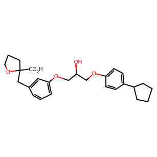 O=C(O)C1(Cc2cccc(OC[C@@H](O)COc3ccc(C4CCCC4)cc3)c2)CCCO1